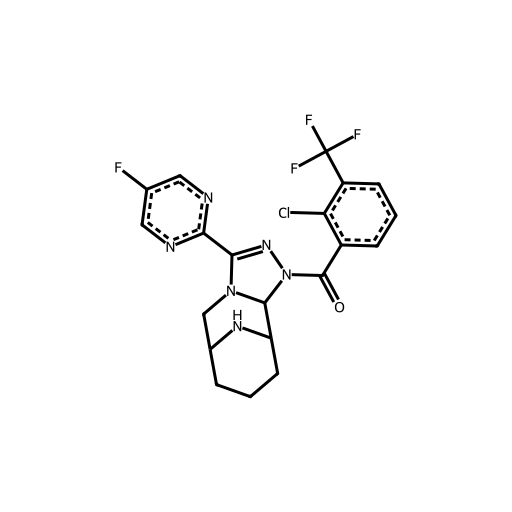 O=C(c1cccc(C(F)(F)F)c1Cl)N1N=C(c2ncc(F)cn2)N2CC3CCCC(N3)C21